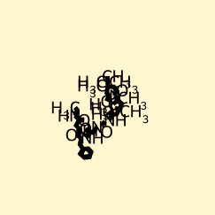 CCNC(=O)CNC(=O)C(Cc1ccccc1)NC(=O)CNC(=O)CNC(=O)CC(C)(C)CC(C)(C)N1C(=O)CC(C)(C(C)(C)C)CC1=O